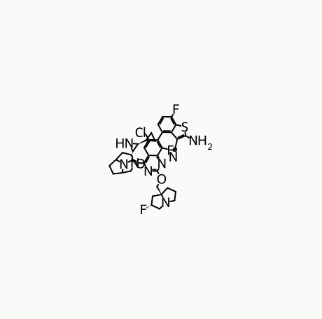 N#Cc1c(N)sc2c(F)ccc(-c3c(Cl)cc4c(N5CCC6CCC(C5)N6C(=O)[C@@H]5N[C@H]5C5CC5)nc(OC[C@@]56CCCN5C[C@H](F)C6)nc4c3F)c12